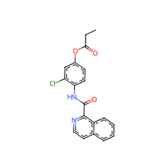 CCC(=O)Oc1ccc(NC(=O)c2nccc3ccccc23)c(Cl)c1